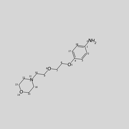 Nc1ccc(OCCOCCN2CCOCC2)cc1